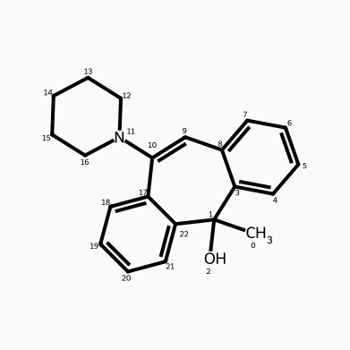 CC1(O)c2ccccc2C=C(N2CCCCC2)c2ccccc21